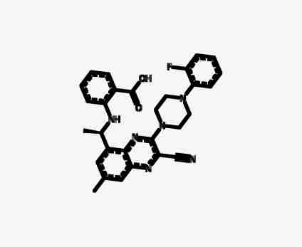 Cc1cc([C@@H](C)Nc2ccccc2C(=O)O)c2nc(N3CCN(c4ccccc4F)CC3)c(C#N)nc2c1